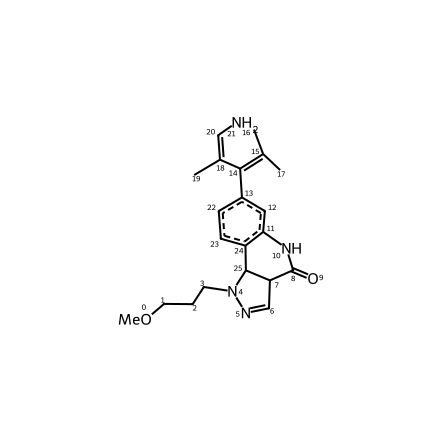 COCCCN1N=CC2C(=O)Nc3cc(C(=C(C)C)/C(C)=C\N)ccc3C21